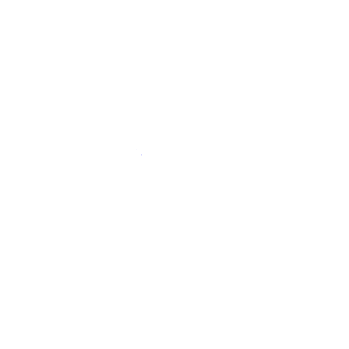 CC1(C)OB(c2ccc(OCCNC(=O)OCc3ccccc3)cc2)OC1(C)C